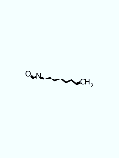 C=CCCCCCC=NC=O